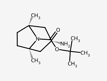 CC(C)(C)OC(=O)N1[C@@]2(C)CC[C@]1(C)C[C@@H](N)C2